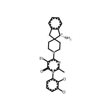 CCc1c(N2CCC3(CC2)Cc2ccccc2[C@@H]3N)nc(C)n(-c2cccc(Cl)c2Cl)c1=O